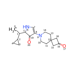 CC(C1CC1)C1NC=C(N2CCC3(CC2)CC(=O)C3)C1=O